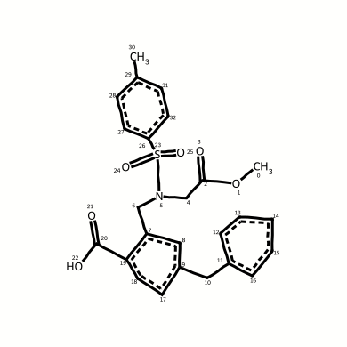 COC(=O)CN(Cc1cc(Cc2ccccc2)ccc1C(=O)O)S(=O)(=O)c1ccc(C)cc1